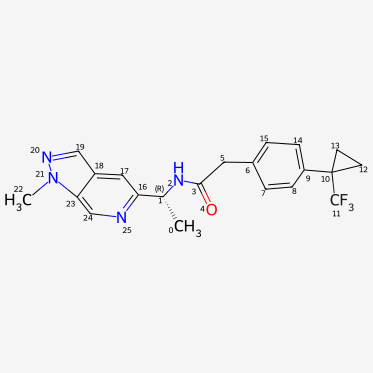 C[C@@H](NC(=O)Cc1ccc(C2(C(F)(F)F)CC2)cc1)c1cc2cnn(C)c2cn1